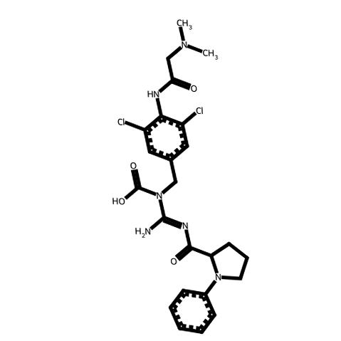 CN(C)CC(=O)Nc1c(Cl)cc(CN(C(=O)O)C(N)=NC(=O)C2CCCN2c2ccccc2)cc1Cl